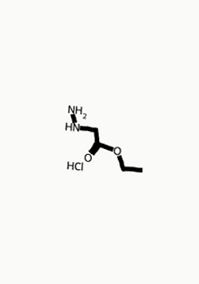 CCOC(=O)CNN.Cl